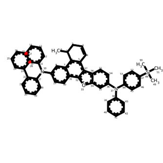 CC1CC=Cc2c1c1cc(N(c3ccccc3)c3ccccc3-c3ccccc3)ccc1c1oc3cc(N(c4ccccc4)c4ccc([Si](C)(C)C)cc4)ccc3c21